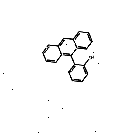 Sc1ccccc1-c1c2ccccc2cc2ccccc12